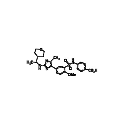 COc1ccc(-c2sc(NC(C)C3CCOCC3)nc2C)cc1S(=O)(=O)Nc1ccc(C(=O)O)cc1